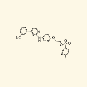 Cc1ccc(S(=O)(=O)OCCOc2ccc(Nc3nccc(-c4cccc(C#N)c4)n3)cc2)cc1